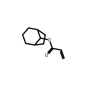 C=CC(=O)OC1C2CCCC1CC2